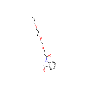 CCCOCCCOCCOCCC(=O)Nc1ccccc1C(C)=O